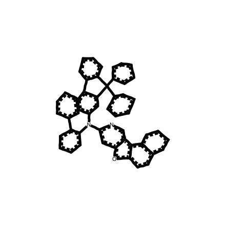 c1ccc(-c2ccccc2N(c2ccc3c(c2)C(c2ccccc2)(c2ccccc2)c2ccccc2-3)c2cc3oc4ccc5ccccc5c4c3cn2)cc1